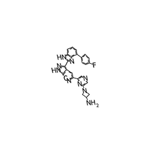 NC1CN(c2cncc(-c3cc4c(-c5nc6c(-c7ccc(F)cc7)cccc6[nH]5)n[nH]c4cn3)n2)C1